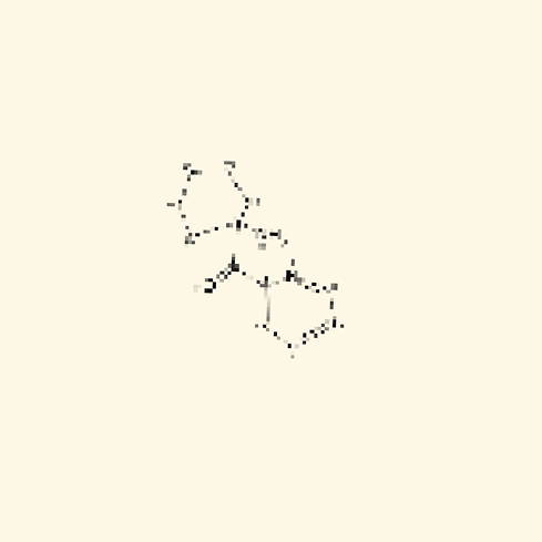 NC1(C(=O)c2ccccn2)CCCCC1